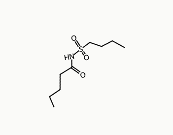 CCCCC(=O)NS(=O)(=O)CCCC